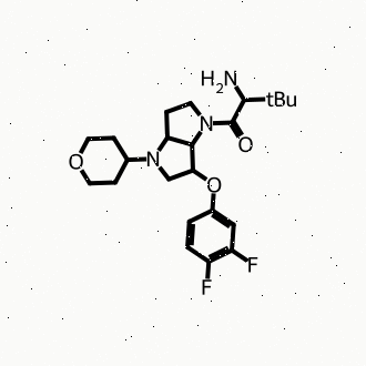 CC(C)(C)C(N)C(=O)N1CCC2C1C(Oc1ccc(F)c(F)c1)CN2C1CCOCC1